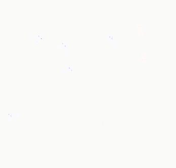 CC(C)S(=O)(=O)c1ccc(-c2nc(N)c3ccc(-c4ncccc4C(F)(F)F)cc3n2)cn1.Cl